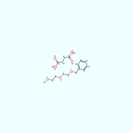 COCCOCCOCc1ccccc1.O=C(O)CCC(=O)O